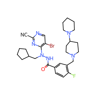 N#Cc1ncc(Br)c(N(CC2CCCC2)NC(=O)c2ccc(F)c(CN3CCC(N4CCCCC4)CC3)c2)n1